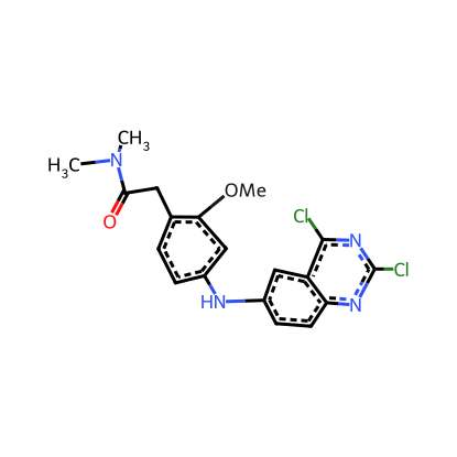 COc1cc(Nc2ccc3nc(Cl)nc(Cl)c3c2)ccc1CC(=O)N(C)C